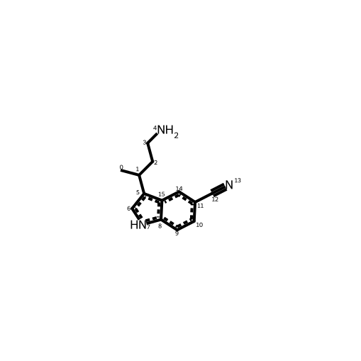 CC(CCN)c1c[nH]c2ccc(C#N)cc12